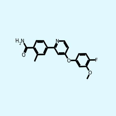 COc1cc(Oc2ccnc(-c3ccc(C(N)=O)c(C)c3)c2)ccc1F